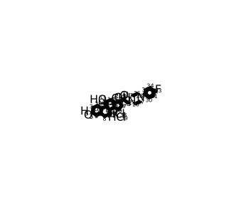 C[C@]12CCC(=O)C=C1CC[C@@H]1[C@@H]2[C@H](O)C[C@@]2(C)[C@H]1CC[C@]2(O)C(=O)CN1CCN(c2ccc(F)cc2)CC1.Cl.Cl